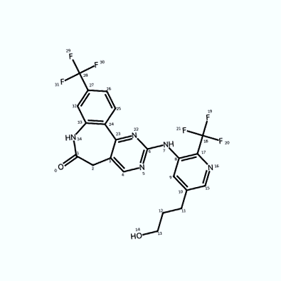 O=C1Cc2cnc(Nc3cc(CCCO)cnc3C(F)(F)F)nc2-c2ccc(C(F)(F)F)cc2N1